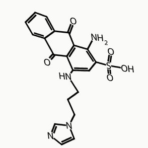 Nc1c(S(=O)(=O)O)cc(NCCCn2ccnc2)c2c1C(=O)c1ccccc1C2=O